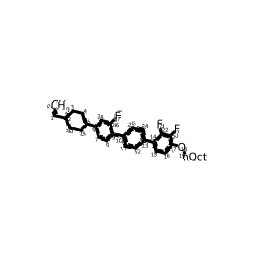 C=CC1CC=C(c2ccc(-c3ccc(-c4ccc(OCCCCCCCC)c(F)c4F)cc3)c(F)c2)CC1